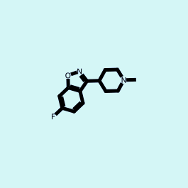 CN1CCC(c2noc3cc(F)ccc23)CC1